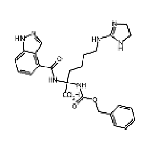 O=C(NC(CCCCNC1=NCCN1)(NC(=O)c1cccc2[nH]ncc12)C(=O)O)OCc1ccccc1